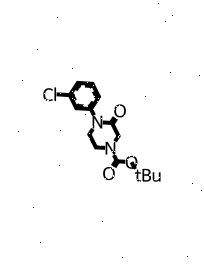 CC(C)(C)OC(=O)N1CCN(c2cccc(Cl)c2)C(=O)C1